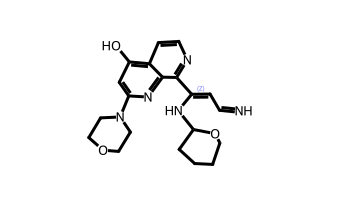 N=C/C=C(\NC1CCCCO1)c1nccc2c(O)cc(N3CCOCC3)nc12